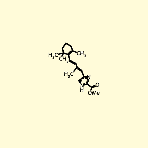 COC(=O)c1nc(/C=C(C)/C=C/C2=C(C)CCCC2(C)C)c[nH]1